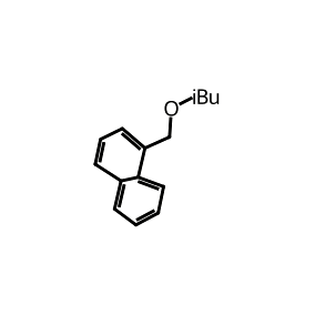 CCC(C)OCc1cccc2ccccc12